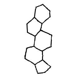 C1CCC2C(C1)CCC1C2CCC2C3CCCC3CCC21